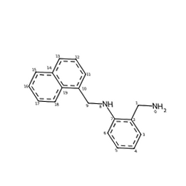 NCc1ccccc1NCc1cccc2ccccc12